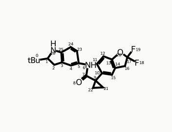 CC(C)(C)C1Cc2cc(NC(=O)C3(c4ccc5c(c4)CC(F)(F)O5)CC3)ccc2N1